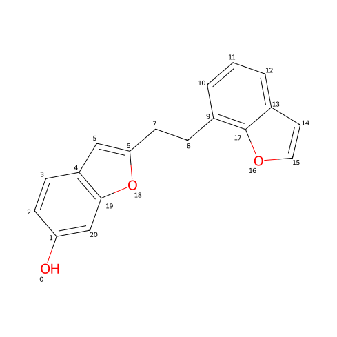 Oc1ccc2cc(CCc3cccc4ccoc34)oc2c1